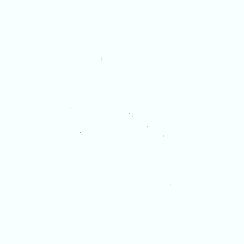 CCN(Cc1ccc(Cl)cc1)C[C@@H]1CCN(CC/C=C2/c3cc(C(C)(C)O)ccc3OCc3ncccc32)C1